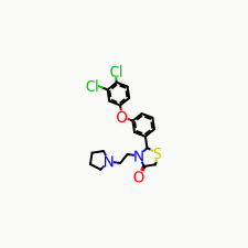 O=C1CSC(c2cccc(Oc3ccc(Cl)c(Cl)c3)c2)N1CCN1CCCC1